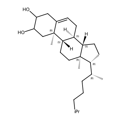 CC(C)CCC[C@@H](C)[C@H]1CC[C@H]2[C@@H]3CC=C4CC(O)C(O)C[C@]4(C)[C@H]3CC[C@]12C